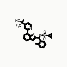 C[C@](O)(c1ccnc(-c2cccc3cc(C(NS(=O)(=O)C4CC4)c4ccccc4Cl)sc23)c1)C(F)(F)F